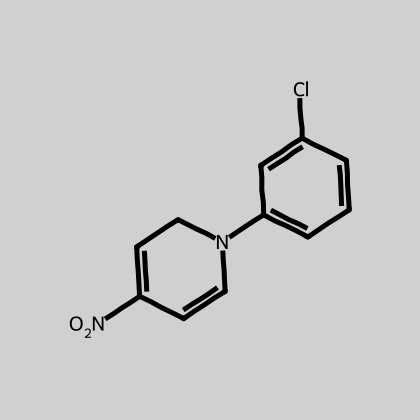 O=[N+]([O-])C1=CCN(c2cccc(Cl)c2)C=C1